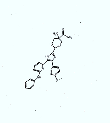 CC1(C(N)=O)COC(c2nc(-c3ccc(F)cc3)c(-c3ccnc(Nc4ccccc4)n3)[nH]2)OC1